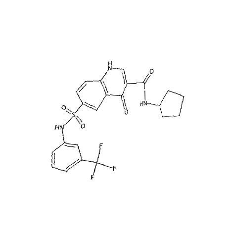 O=C(NC1CCCC1)c1c[nH]c2ccc(S(=O)(=O)Nc3cccc(C(F)(F)F)c3)cc2c1=O